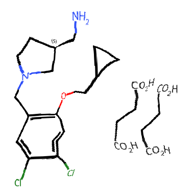 NC[C@@H]1CCN(Cc2cc(Cl)c(Cl)cc2OCC2CC2)C1.O=C(O)CCC(=O)O.O=C(O)CCC(=O)O